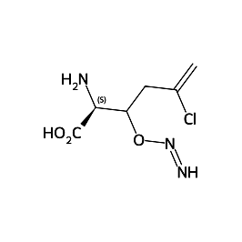 C=C(Cl)CC(ON=N)[C@H](N)C(=O)O